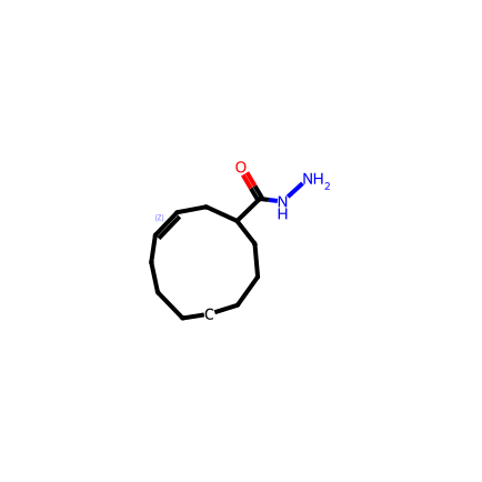 NNC(=O)C1C/C=C\CCCCCCC1